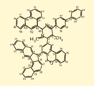 CC1=C(c2cc3c(c(-n4c5cc6ccccc6cc5c5c6ccccc6ccc54)c2)COc2ccccc2-3)N(C)C(c2cc3ccccc3c3ccccc23)N=C1c1ccc(-c2ccccc2)cc1